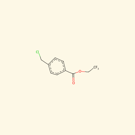 O=C(OCC(F)(F)F)c1ccc(CCl)cc1